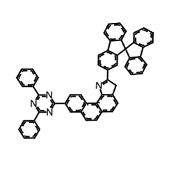 c1ccc(-c2nc(-c3ccccc3)nc(-c3ccc4c(ccc5ccc6c(c54)N=C(c4ccc5c(c4)C4(c7ccccc7-c7ccccc74)c4ccccc4-5)C6)c3)n2)cc1